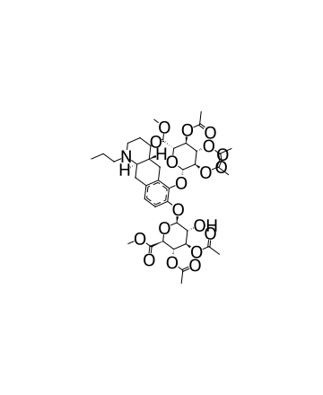 CCCN1CCC[C@@H]2Cc3c(ccc(O[C@@H]4O[C@H](C(=O)OC)[C@@H](OC(C)=O)[C@H](OC(C)=O)[C@H]4O)c3O[C@@H]3O[C@H](C(=O)OC)[C@@H](OC(C)=O)[C@H](OC(C)=O)[C@H]3OC(C)=O)C[C@H]21